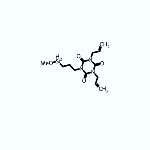 C=CCn1c(=O)n(CC=C)c(=O)n(CCC[SiH2]OC)c1=O